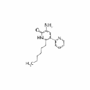 CCCCCCc1[nH]c(=O)c(N)cc1-c1ccccn1